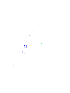 CC1CS(=O)(=O)CCN1/N=C/c1c(Cl)c2cc(Br)ccc2oc1=O